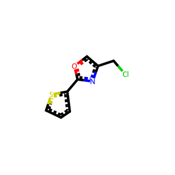 ClCc1coc(-c2cccs2)n1